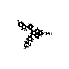 CC(C)(C)c1cc2ccc3c(-c4ccc(-c5ccccn5)cc4)cc(-c4cccc(-c5ccc6ccccc6c5)c4)c4ccc(c1)c2c34